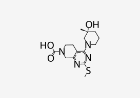 CSc1nc2c(c(N3CCC[C@@](C)(O)C3)n1)CCN(C(=O)O)C2